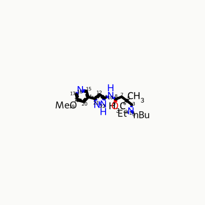 CCCCN(CC)CC(C)(C)CC(=O)Nc1cc(-c2cncc(OC)c2)n[nH]1